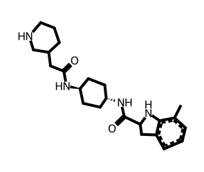 Cc1cccc2c1NC(C(=O)N[C@H]1CC[C@H](NC(=O)CC3CCCNC3)CC1)C2